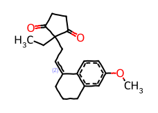 CCC1(C/C=C2/CCCc3cc(OC)ccc32)C(=O)CCC1=O